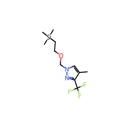 Cc1cn(COCC[Si](C)(C)C)nc1C(F)(F)F